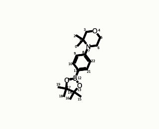 CC1(C)COCCN1c1ccc(B2OC(C)(C)C(C)(C)O2)cc1